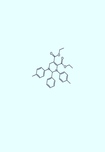 CCOC(=O)C1=C(C(=O)OCC)N(c2ccc(C)cc2)C(c2ccccc2)N(c2ccc(C)cc2)C1